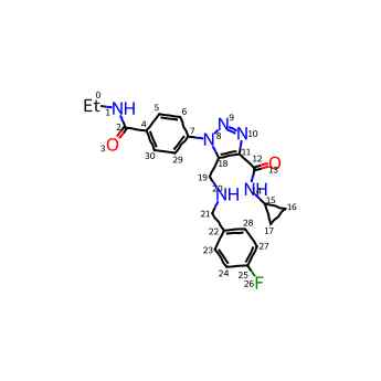 CCNC(=O)c1ccc(-n2nnc(C(=O)NC3CC3)c2CNCc2ccc(F)cc2)cc1